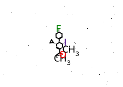 CCC(=O)C1=C[C@H](C2CC2)C(C2=CC[C@H](F)CC2)[C@H](I)[C@@H]1C